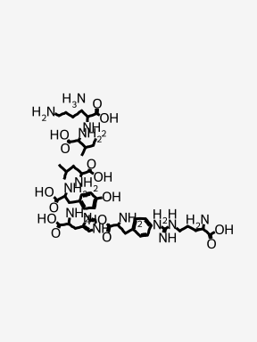 CC(C)CC(N)C(=O)O.CCC(C)C(N)C(=O)O.N.N=C(N)NCCCC(N)C(=O)O.NC(Cc1c[nH]cn1)C(=O)O.NC(Cc1ccc(O)cc1)C(=O)O.NC(Cc1ccccc1)C(=O)O.NCCCCC(N)C(=O)O